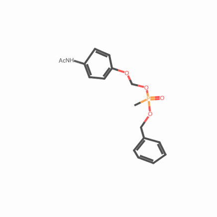 CC(=O)Nc1ccc(OCOP(C)(=O)OCc2ccccc2)cc1